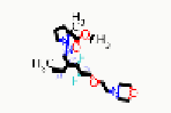 C\C=C/C(/C=N/N1CCC[C@]1(C)C(=O)OC)=C(F)\C(F)=C\OCCN1CCOCC1